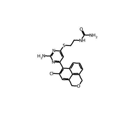 NC(=O)NCCSc1cc(-c2c(Cl)cc3c4c(cccc24)COC3)nc(N)n1